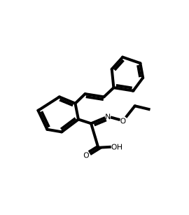 CCON=C(C(=O)O)c1ccccc1C=Cc1ccccc1